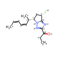 C/C=C\C=C/C(C)[C@@H]1C[C@H](F)c2nc(C(=O)CC)nn21